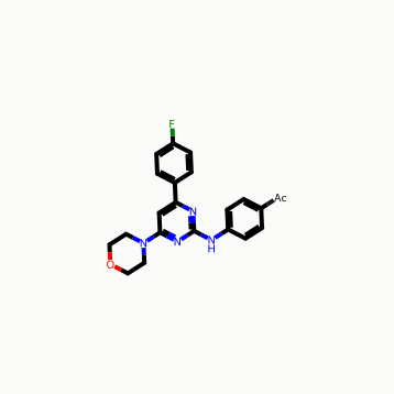 CC(=O)c1ccc(Nc2nc(-c3ccc(F)cc3)cc(N3CCOCC3)n2)cc1